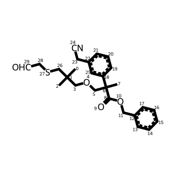 CC(C)(COCC(C)(C(=O)OCc1ccccc1)c1cccc(CC#N)c1)CSCC=O